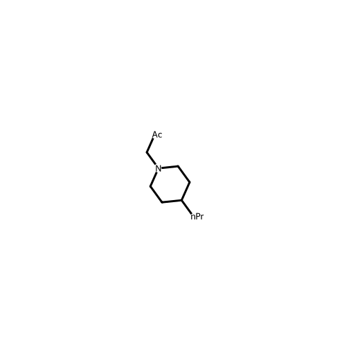 CCCC1CCN(CC(C)=O)CC1